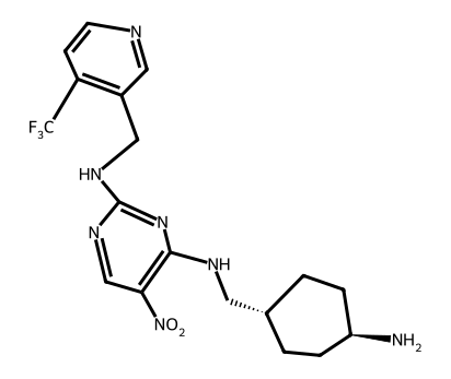 N[C@H]1CC[C@H](CNc2nc(NCc3cnccc3C(F)(F)F)ncc2[N+](=O)[O-])CC1